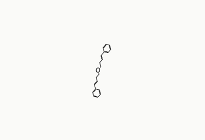 C(=C\c1ccccc1)/CCOCC/C=C/c1ccccc1